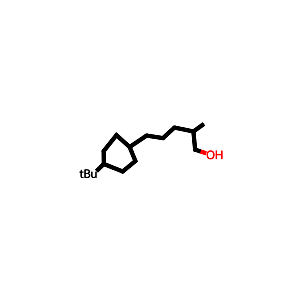 CC(CO)CCCC1CCC(C(C)(C)C)CC1